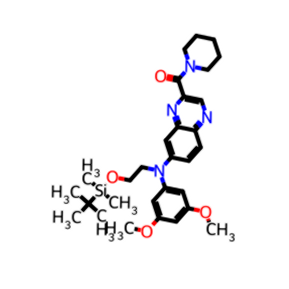 COc1cc(OC)cc(N(CCO[Si](C)(C)C(C)(C)C)c2ccc3ncc(C(=O)N4CCCCC4)nc3c2)c1